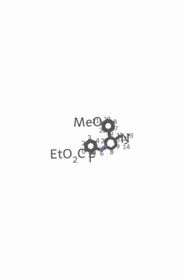 CCOC(=O)c1cccc(/C=C2/CCC(CN(C)C)C(c3cccc(OC)c3)C2)c1F